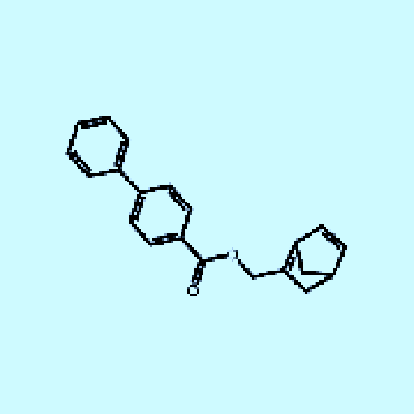 O=C(OCC1=C2C=CC(C2)C1)c1ccc(-c2ccccc2)cc1